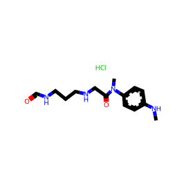 CNc1ccc(N(C)C(=O)CNCCCNC=O)cc1.Cl